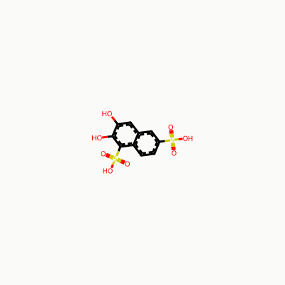 O=S(=O)(O)c1ccc2c(S(=O)(=O)O)c(O)c(O)cc2c1